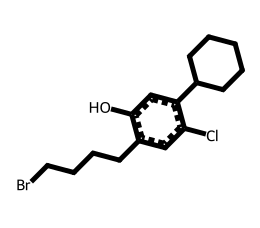 Oc1cc(C2CCCCC2)c(Cl)cc1CCCCBr